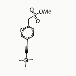 COS(=O)(=O)Cc1ccc(C#C[Si](C)(C)C)cn1